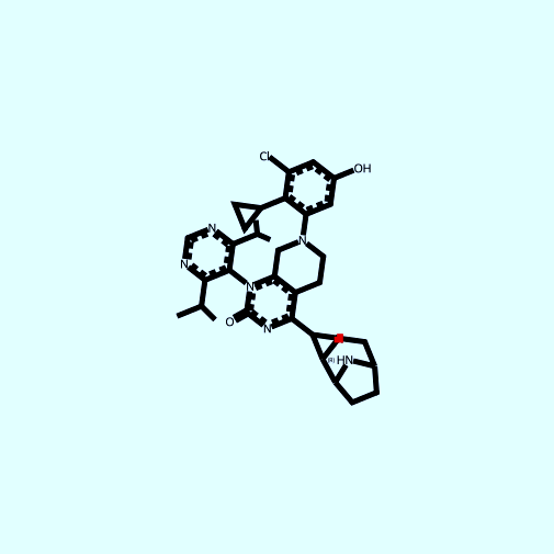 CC(C)c1ncnc(C(C)C)c1-n1c2c(c(C3C4CC5CCC(N5)[C@H]43)nc1=O)CCN(c1cc(O)cc(Cl)c1C1CC1)C2